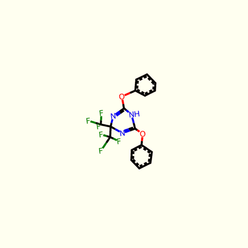 FC(F)(F)C1(C(F)(F)F)N=C(Oc2ccccc2)NC(Oc2ccccc2)=N1